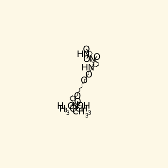 CC(c1cccc(OCCCCCCOCCOCCNc2cccc3c2CN(C2CCC(=O)NC2=O)C3=O)c1)N(C(=O)O)C(C)(C)C